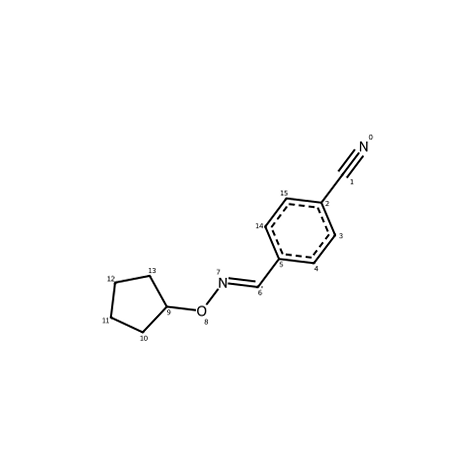 N#Cc1ccc(/[C]=N/OC2CCCC2)cc1